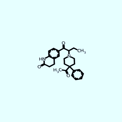 CCC(C(=O)c1ccc2c(c1)CCC(=O)N2)N1CCC(C(C)=O)(c2ccccc2)CC1